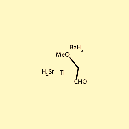 COCC=O.[BaH2].[SrH2].[Ti]